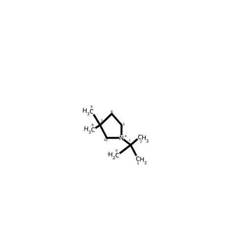 [CH2]C(C)(C)N1CCC(C)(C)C1